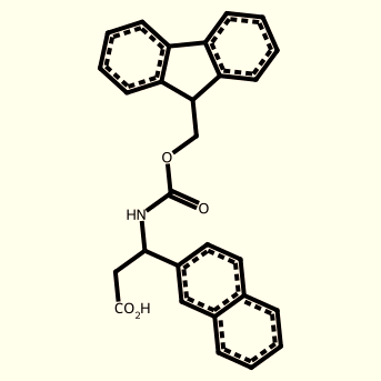 O=C(O)CC(NC(=O)OCC1c2ccccc2-c2ccccc21)c1ccc2ccccc2c1